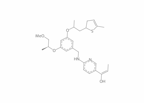 C/C=C(/O)c1ccc(NCc2cc(OC(C)CC3CC=C(C)S3)cc(O[C@@H](C)COC)c2)nc1